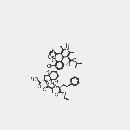 CC1=C(C(=O)OC(C)C)C(c2cccc(Cl)c2Cl)C(c2ncon2)=C(C)N1.CCOC(=O)[C@H](CCc1ccccc1)N[C@@H](C)C(=O)N1[C@H](C(=O)O)C[C@H]2CCCC[C@@H]21